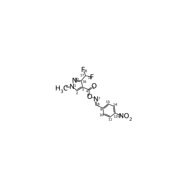 Cn1cc(C(=O)O/N=C/c2ccc([N+](=O)[O-])cc2)c(C(F)F)n1